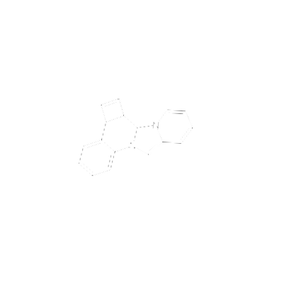 C1=CC2=CN3c4ccccc4C4C=CC4C3N2C=C1